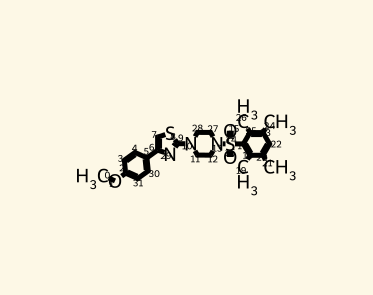 COc1ccc(-c2csc(N3CCN(S(=O)(=O)c4c(C)c(C)cc(C)c4C)CC3)n2)cc1